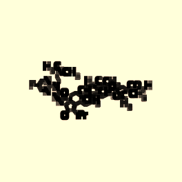 CC(C)C1=C2C3CC[C@@H]4[C@@]5(C)CCC(OC(=O)CC(C)(C)C(=O)O)C(C)(C)C5CC[C@@]4(C)[C@]3(C)CC[C@@]2(c2nnc(N(CCN(C)C)c3ncc(F)cn3)o2)CC1=O